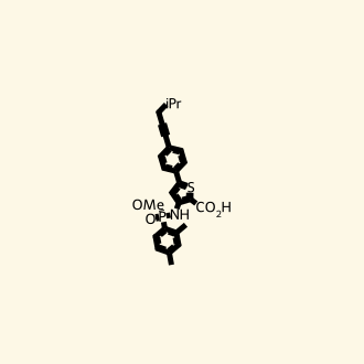 COP(=O)(Nc1cc(-c2ccc(C#CCC(C)C)cc2)sc1C(=O)O)c1ccc(C)cc1C